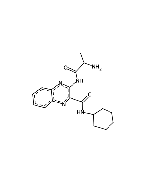 CC(N)C(=O)Nc1nc2ccccc2nc1C(=O)NC1CCCCC1